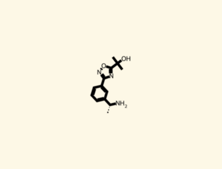 C[C@@H](N)c1cccc(-c2noc(C(C)(C)O)n2)c1